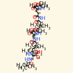 CC(C)(C)CC(=O)NC[C@@H](NC(C)(C)CCC(C)(C)CC(=O)NC[C@H](NC(C)(C)CCC(C)(C)CC(=O)NC(=O)CC[C@H](NC(C)(C)C)C(=O)O)C(=O)O)C(=O)O